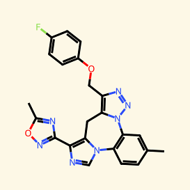 Cc1ccc2c(c1)-n1nnc(COc3ccc(F)cc3)c1Cc1c(-c3noc(C)n3)ncn1-2